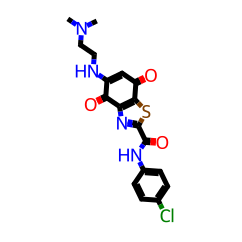 CN(C)CCNC1=CC(=O)c2sc(C(=O)Nc3ccc(Cl)cc3)nc2C1=O